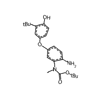 CN(C(=O)OC(C)(C)C)c1cc(Oc2ccc(O)c(C(C)(C)C)c2)ccc1N